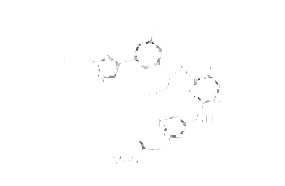 CNC(=O)Cn1cc(Nc2ncc(Cl)c(NC(CO)c3cc(F)cc(-c4cnn(C)c4)c3)n2)cn1